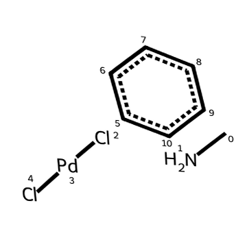 CN.[Cl][Pd][Cl].c1ccccc1